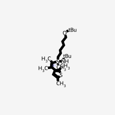 C/C(=C(\C)S(C)(CCCCCCOC(C)(C)C)NC(C)(C)C)c1cc(C)sc1C